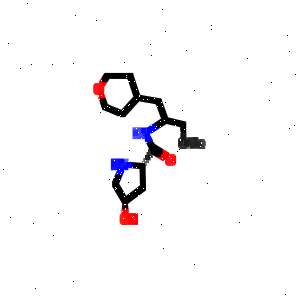 COCC(CC1CCOCC1)NC(=O)[C@@H]1C[C@@H](O)CN1